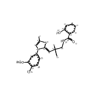 COc1cc(N2C=C(C)SC2=CC(C)(C)CNC(=O)c2ccccc2O)ccc1Cl